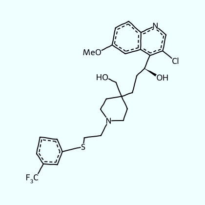 COc1ccc2ncc(Cl)c([C@@H](O)CCC3(CO)CCN(CCSc4cccc(C(F)(F)F)c4)CC3)c2c1